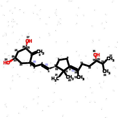 C=C1/C(=C\C=C\[C@@H]2CC/C(=C(/C)CC[C@H](O)C(C)C)C2(C)C)C[C@@H](O)C[C@@H]1O